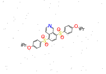 CC(C)Oc1ccc(S(=O)(=O)c2ccc(S(=O)(=O)c3ccc(OC(C)C)cc3)c3cnccc23)cc1